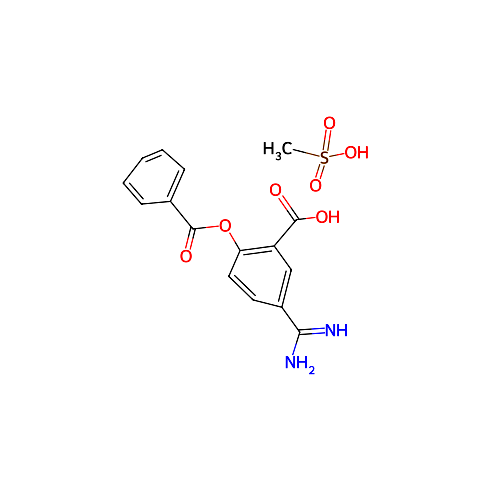 CS(=O)(=O)O.N=C(N)c1ccc(OC(=O)c2ccccc2)c(C(=O)O)c1